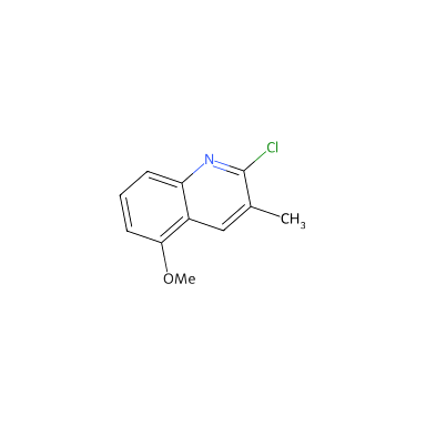 COc1cccc2nc(Cl)c(C)cc12